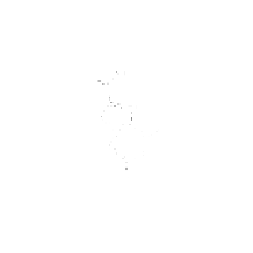 NC(=O)c1cc2cc(Cl)cc(Cl)c2[nH]1